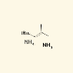 CC(C)=C(C)C(C)(C)C.N.N